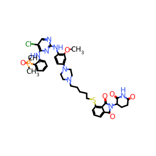 COc1cc(N2CCN(CCCCCSc3cccc4c3C(=O)N(C3CCC(=O)NC3=O)C4=O)CC2)ccc1Nc1ncc(Cl)c(Nc2ccccc2P(C)(C)=O)n1